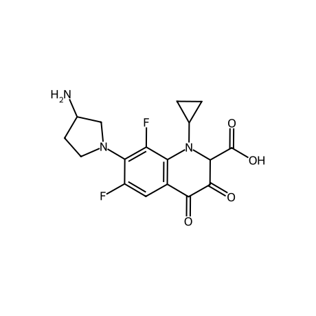 NC1CCN(c2c(F)cc3c(c2F)N(C2CC2)C(C(=O)O)C(=O)C3=O)C1